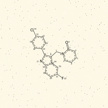 O=c1ccccn1Cc1c(-c2ccc(Cl)cc2)nc2ccc(F)cn12